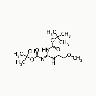 COCCN/C(=N/C(=O)OC(C)(C)C)NC(=O)OC(C)(C)C